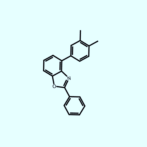 Cc1ccc(-c2cccc3oc(-c4ccccc4)nc23)cc1C